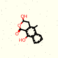 Cc1c2c(c(O)c3ccccc13)C(=O)OC(O)C2